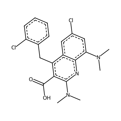 CN(C)c1nc2c(N(C)C)cc(Cl)cc2c(Cc2ccccc2Cl)c1C(=O)O